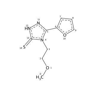 COCCn1c(-c2ccco2)n[nH]c1=S